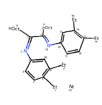 CCCCCCCCC(=Nc1ccc(CC)c(CC)c1)C(CCCCCCCC)=Nc1ccc(CC)c(CC)c1.[Ni]